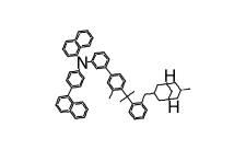 Cc1cc(-c2cccc(N(c3ccc(-c4cccc5ccccc45)cc3)c3cccc4ccccc34)c2)ccc1C(C)(C)c1ccccc1CC1C[C@@H]2C[C@H](C)C[C@H](C1)C2